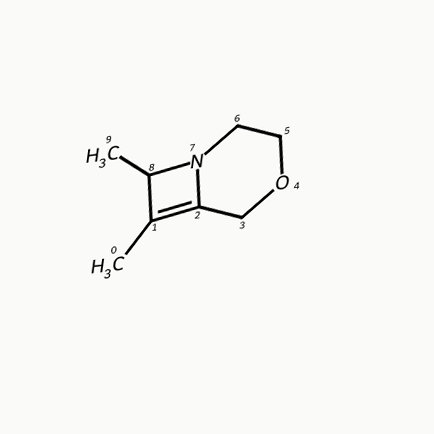 CC1=C2COCCN2C1C